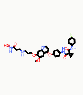 COc1cc2c(Oc3ccc(NC(=O)C4(C(=O)Nc5ccc(F)cc5)CC4)cc3)ccnc2cc1OCCCNCCC(=O)NO